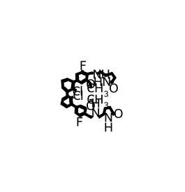 COc1cc(-c2cccc(-c3cccc(-c4cc(F)c(CNCC5CCC(=O)N5)c(OC)c4)c3Cl)c2Cl)cc(F)c1CNCC1CCC(=O)N1